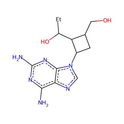 CCC(O)C1C(CO)CC1n1cnc2c(N)nc(N)nc21